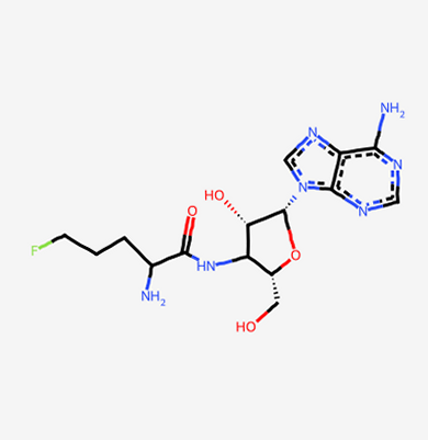 Nc1ncnc2c1ncn2[C@@H]1O[C@H](CO)C(NC(=O)C(N)CCCF)[C@@H]1O